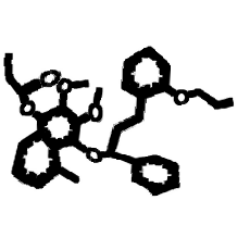 CCCOc1ccccc1CCC(Oc1c(OC)c(OC)c(OC(=O)CC)c2cccc(C)c12)c1ccccc1